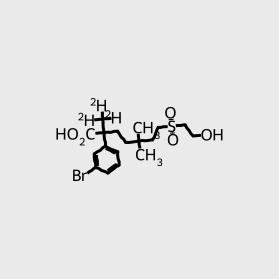 [2H]C([2H])([2H])C(CCC(C)(C)CCS(=O)(=O)CCO)(C(=O)O)c1cccc(Br)c1